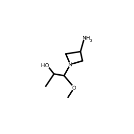 COC(C(C)O)N1CC(N)C1